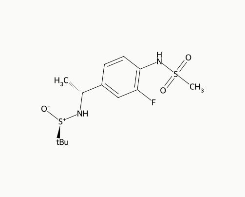 C[C@@H](N[S@+]([O-])C(C)(C)C)c1ccc(NS(C)(=O)=O)c(F)c1